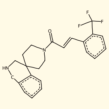 O=C(C=Cc1ccccc1C(F)(F)F)N1CCC2(CC1)CNCc1ccccc12